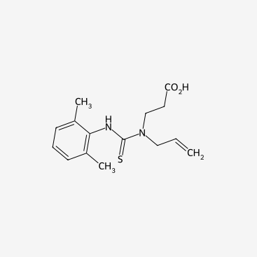 C=CCN(CCC(=O)O)C(=S)Nc1c(C)cccc1C